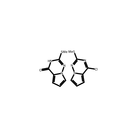 CSc1nc(Cl)c2cccn2n1.CSc1nn2cccc2c(=O)[nH]1